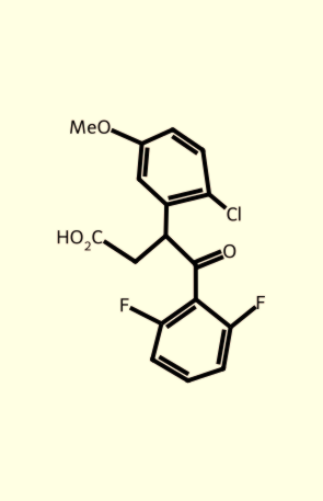 COc1ccc(Cl)c(C(CC(=O)O)C(=O)c2c(F)cccc2F)c1